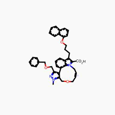 Cn1nc(COCc2ccccc2)c2c1COC/C=C\Cn1c(C(=O)O)c(CCCOc3cccc4ccccc34)c3cccc-2c31